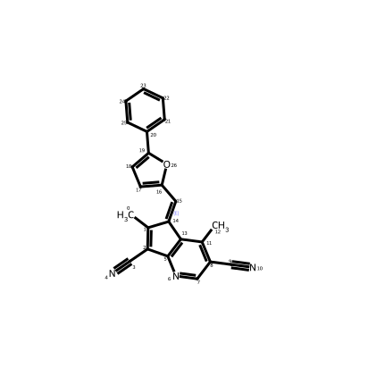 CC1=C(C#N)c2ncc(C#N)c(C)c2/C1=C/c1ccc(-c2ccccc2)o1